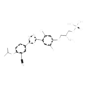 CC(C)Oc1ccc(-c2nnc(-c3cc(F)c(OC[C@H](N)COP(=O)(O)O)cc3Cl)s2)cc1C#N